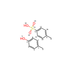 Cc1ccc(O)cc1.Cc1ccc(S(=O)(=O)O)cc1